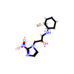 O=[N+]([O-])c1nccn1CC(O)CN[C@@H]1CCCC[C@H]1Br